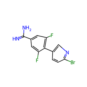 N=C(N)c1cc(F)c(-c2ccc(Br)nc2)c(F)c1